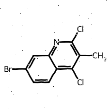 Cc1c(Cl)nc2cc(Br)ccc2c1Cl